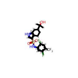 CC(C)(O)C1CCc2c(S(=O)(=O)Nc3cc(F)c(C(F)(F)F)cc3F)c[nH]c2C1